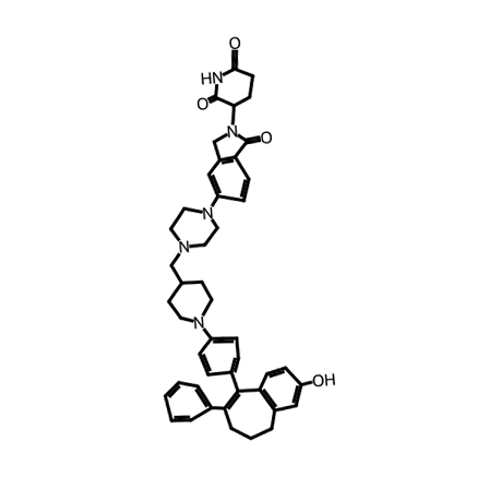 O=C1CCC(N2Cc3cc(N4CCN(CC5CCN(c6ccc(C7=C(c8ccccc8)CCCc8cc(O)ccc87)cc6)CC5)CC4)ccc3C2=O)C(=O)N1